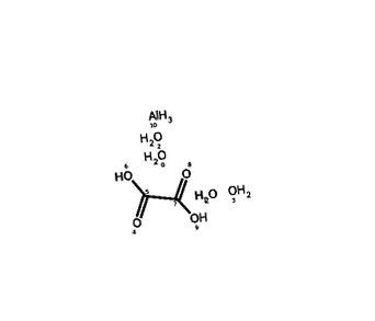 O.O.O.O.O=C(O)C(=O)O.[AlH3]